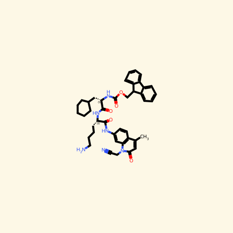 Cc1cc(=O)n(CC#N)c2cc(NC(=O)[C@H](CCCCN)NC(=O)[C@H](CC3CCCCC3)NC(=O)OCC3c4ccccc4-c4ccccc43)ccc12